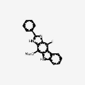 COc1c2[nH]c(-c3ccccc3)nc2c(F)c2c1[nH]c1ccccc12